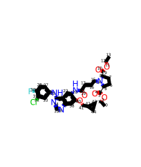 CCOC(=O)[C@H]1CC[C@@H](C(=O)OCC)N1CC=CC(=O)Nc1cc2c(Nc3ccc(F)c(Cl)c3)ncnc2cc1OCC1CC1